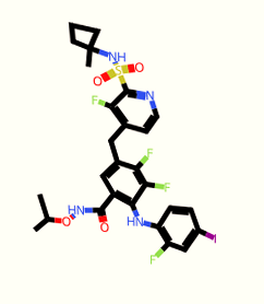 CC(C)ONC(=O)c1cc(Cc2ccnc(S(=O)(=O)NC3(C)CCC3)c2F)c(F)c(F)c1Nc1ccc(I)cc1F